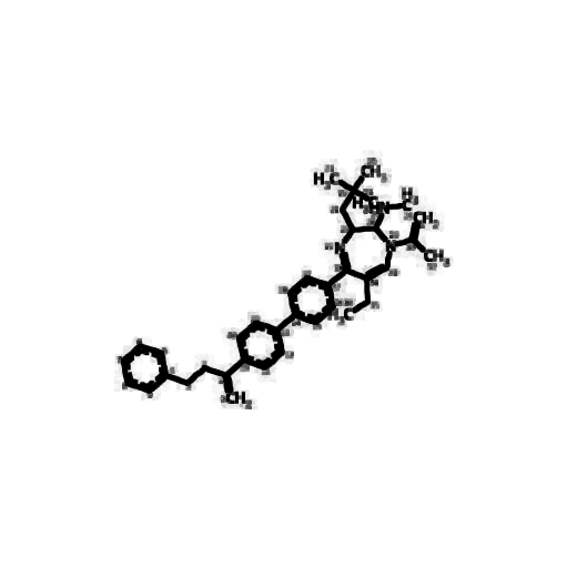 C=C(CCc1ccccc1)c1ccc(-c2ccc(C3=NC(CC(C)(C)C)C(NC)N(C(=C)C)C=C3CC)cc2)cc1